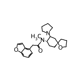 CN(C(=O)Cc1cccc2occc12)[C@H]1CC[C@]2(CCCO2)C[C@@H]1N1CCCC1